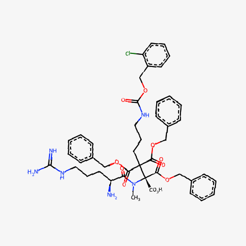 CN(C(=O)[C@@H](N)CCCNC(=N)N)[C@@](C(=O)O)(C(=O)OCc1ccccc1)C(CCCNC(=O)OCc1ccccc1Cl)(C(=O)OCc1ccccc1)C(=O)OCc1ccccc1